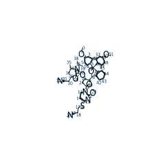 COc1ccc(C(OC[C@H]2O[C@@H](n3ccc(SCCC#N)nc3=O)C[C@@H]2OP(OCCC#N)N(C(C)C)C(C)C)(c2ccccc2)c2ccc(OC)cc2)cc1